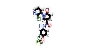 O=C(Nc1ccc(OC(F)(F)Cl)cc1)c1ccc(=O)n(-c2cccnc2Cl)c1